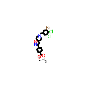 COC(=O)c1ccc(C2=NOC3(CCN(Cc4cc(Cl)c(Cl)c(Br)c4)CC3)C2)cc1